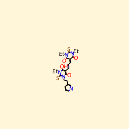 CCN1C(=O)C(=C/C=C/c2c(O)n(CC)c(=S)n(CCc3cccnc3)c2=O)C(=O)N(CC)C1=S